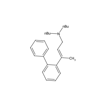 CCCCN(CC=C(C)c1ccccc1-c1ccccc1)CCCC